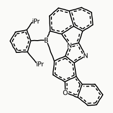 CC(C)c1cccc(C(C)C)c1B1c2cc3oc4ccccc4c3c3nc4c5cccc6ccc1c(c65)n4c23